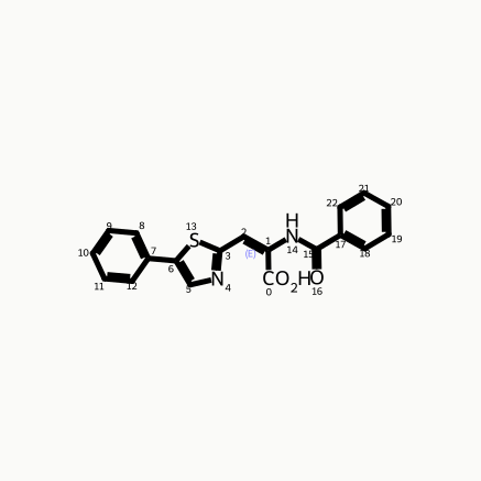 O=C(O)/C(=C\c1ncc(-c2ccccc2)s1)NC(=O)c1ccccc1